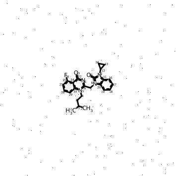 CC(C)CCn1c(Cn2c(=O)n(C3CC3)c3ccccc32)nc(=O)c2c(F)cccc21